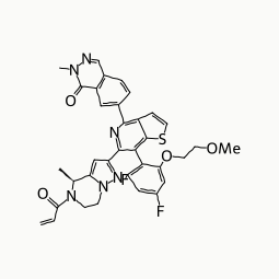 C=CC(=O)N1CCn2nc(-c3nc(-c4ccc5cnn(C)c(=O)c5c4)c4ccsc4c3-c3c(F)cc(F)cc3OCCOC)cc2[C@@H]1C